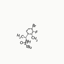 Cc1c([C@H](C)N[S+]([O-])C(C)(C)C)ccc(Br)c1F